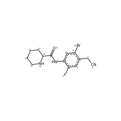 N#CCc1cc(F)c(NC(=O)C2CCCCN2)cc1Br